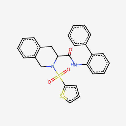 O=C(Nc1ccccc1-c1ccccc1)C1Cc2ccccc2CN1S(=O)(=O)c1cccs1